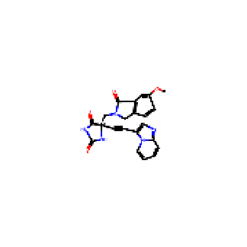 COc1ccc2c(c1)C(=O)N(C[C@@]1(C#Cc3cnc4ccccn34)NC(=O)NC1=O)C2